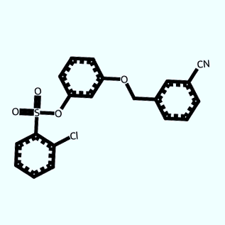 N#Cc1cccc(COc2cccc(OS(=O)(=O)c3ccccc3Cl)c2)c1